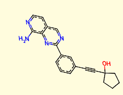 Nc1nccc2cnc(-c3cccc(C#CC4(O)CCCC4)c3)nc12